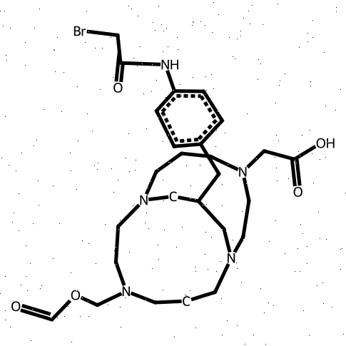 O=COCN1CCCN2CCN(CC(=O)O)CCCN(CC1)CC(Cc1ccc(NC(=O)CBr)cc1)C2